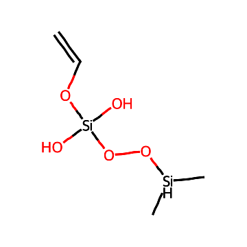 C=CO[Si](O)(O)OO[SiH](C)C